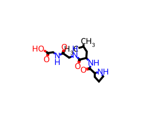 CC(C)CC(NC(=O)C1CCCN1)C(=O)NCC(=O)NCC(=O)O